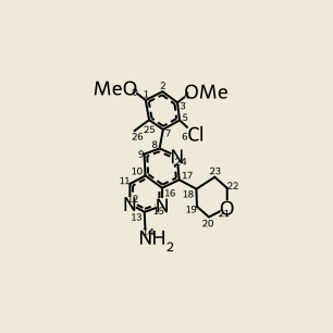 COc1cc(OC)c(Cl)c(-c2cc3cnc(N)nc3c(C3CCOCC3)n2)c1C